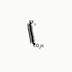 CC(=CC(F)(F)C(F)(F)C(F)(F)C(F)(F)C(F)(F)C(F)(F)C(F)(F)C(F)(F)C(F)(F)C(F)(F)C(F)(F)C(F)(F)C(F)(F)CCC(F)(F)F)C(=O)O